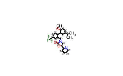 COc1ccc(C(C)C)cc1-c1ccc(C(F)(F)F)cc1CN1CC(c2ccccn2)OC1=O